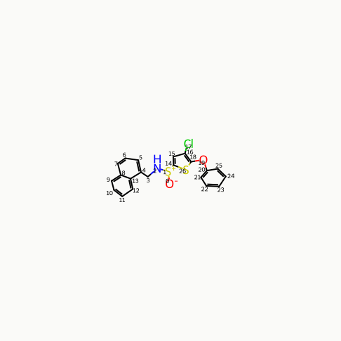 [O-][S+](NCc1cccc2ccccc12)c1cc(Cl)c(Oc2ccccc2)s1